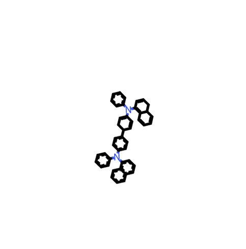 C1=CC2=C(N(C3=CCC(c4ccc(N(c5ccccc5)c5cccc6ccccc56)cc4)C=C3)c3ccccc3)C=CCC2C=C1